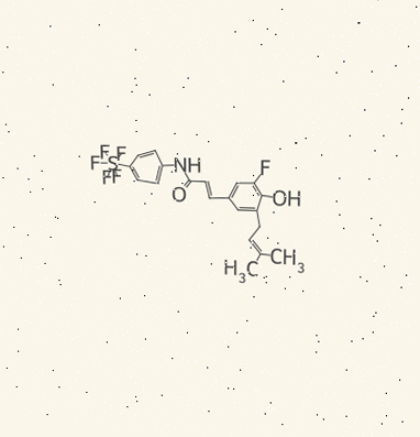 CC(C)=CCc1cc(C=CC(=O)Nc2ccc(S(F)(F)(F)(F)F)cc2)cc(F)c1O